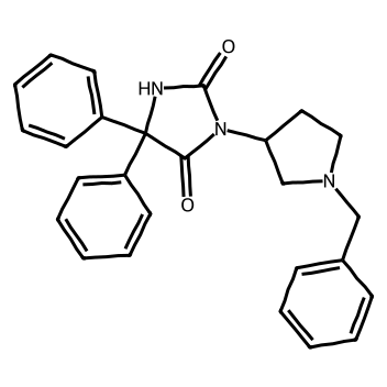 O=C1NC(c2ccccc2)(c2ccccc2)C(=O)N1C1CCN(Cc2ccccc2)C1